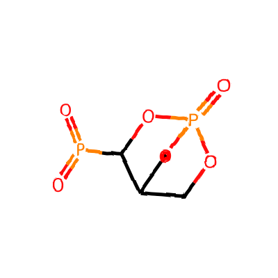 O=P(=O)C1OP2(=O)OCC1CO2